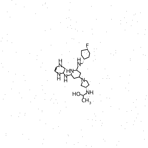 CC(O)N[C@H]1CCN(C2CC(NC[C@H]3CC[C@@H](F)CC3)NC(NC3CNC=CN3)C2)C1